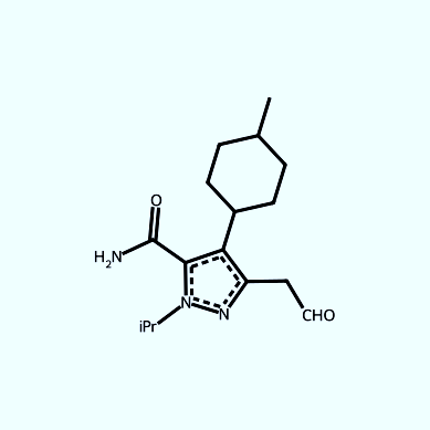 CC1CCC(c2c(CC=O)nn(C(C)C)c2C(N)=O)CC1